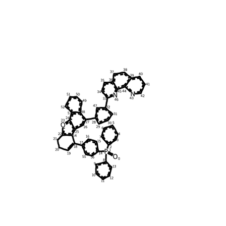 O=P(c1ccccc1)(c1ccccc1)c1ccc(C2=CCCc3oc4c(cc(-c5cccc(-c6ccc7ccc8cccnc8c7n6)c5)c5ccccc54)c32)cc1